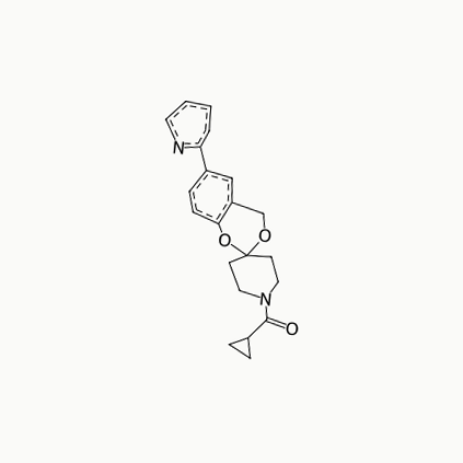 O=C(C1CC1)N1CCC2(CC1)OCc1cc(-c3ccccn3)ccc1O2